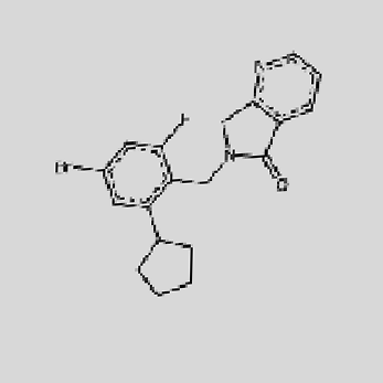 O=C1c2cccnc2CN1Cc1c(F)cc(Br)cc1C1CCCC1